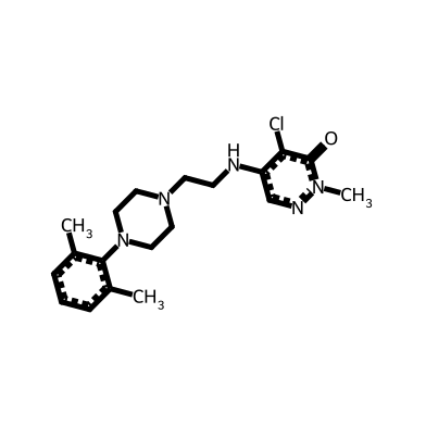 Cc1cccc(C)c1N1CCN(CCNc2cnn(C)c(=O)c2Cl)CC1